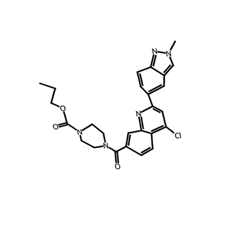 CCCOC(=O)N1CCN(C(=O)c2ccc3c(Cl)cc(-c4ccc5nn(C)cc5c4)nc3c2)CC1